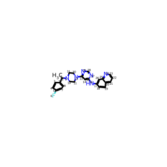 C[C@H](c1ccc(F)cc1)N1CCN(c2cc(Nc3ccc4cccnc4c3)ncn2)CC1